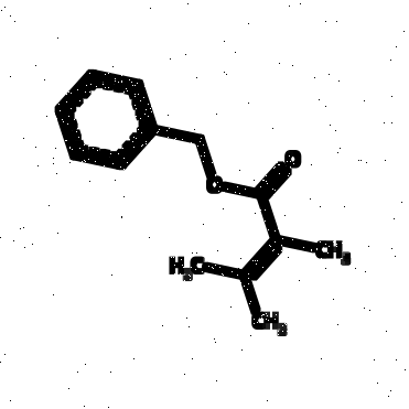 CC(C)=C(C)C(=O)OCc1ccccc1